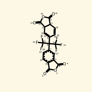 O=C1OC(=O)c2cc(C(C3=CC4C(=O)OC(=O)C4C=C3)(C(F)(F)F)C(F)(F)F)ccc21